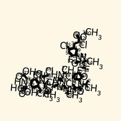 CC1COc2ccccc2N1C(=O)C(Cl)Cl.CCNc1nc(Cl)nc(NC(C)C)n1.CCOC(=O)C(Cl)Cc1cc(-n2nc(C)n(C(F)F)c2=O)c(F)cc1Cl.CCc1cccc(C)c1N(C(=O)CCl)C(C)COC.O=C(O)CNCP(=O)(O)O